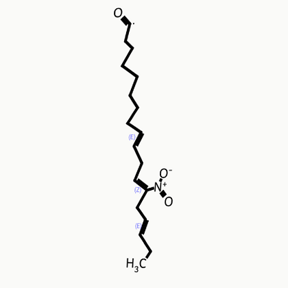 CC/C=C/C/C(=C/C/C=C/CCCCCCC[C]=O)[N+](=O)[O-]